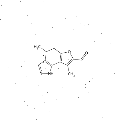 Cc1c(C=O)oc2c1-c1[nH]ncc1C(C)C2